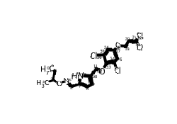 CCC(C)ON=Cc1ccc(COc2c(Cl)cc(OCC=C(Cl)Cl)cc2Cl)[nH]1